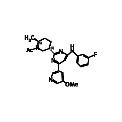 COc1cncc(-c2cc(Nc3cccc(F)c3)nc([C@H]3CC[C@H](C)N(C(C)=O)C3)n2)c1